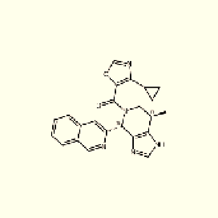 C[C@@H]1CN(C(=O)c2ocnc2C2CC2)[C@@H](c2cc3ccccc3cn2)c2nc[nH]c21